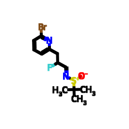 CC(C)(C)[S+]([O-])/N=C/C(F)Cc1cccc(Br)n1